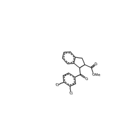 COC(=O)C1Cc2ccccc2C1C(=O)c1ccc(Cl)c(Cl)c1